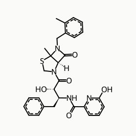 Cc1ccccc1CN1C(=O)[C@H]2N(C(=O)[C@@H](O)[C@H](Cc3ccccc3)NC(=O)c3cccc(O)n3)CSC21C